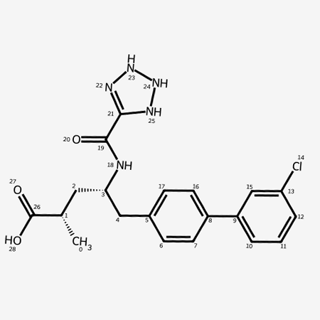 C[C@@H](C[C@@H](Cc1ccc(-c2cccc(Cl)c2)cc1)NC(=O)C1=NNNN1)C(=O)O